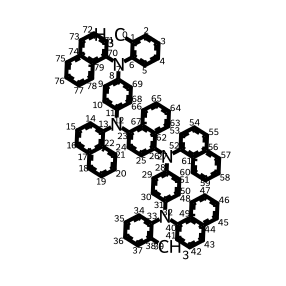 Cc1ccccc1N(c1ccc(N(c2cccc3ccccc23)c2ccc(N(c3ccc(N(c4ccccc4C)c4cccc5ccccc45)cc3)c3cccc4ccccc34)c3ccccc23)cc1)c1cccc2ccccc12